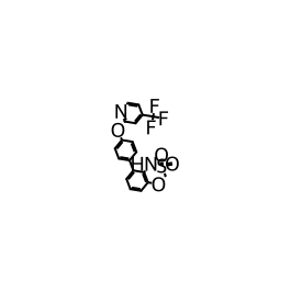 O=S1(=O)COc2cccc(-c3ccc(Oc4cc(C(F)(F)F)ccn4)cc3)c2N1